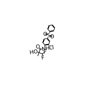 CC(O)(C(=O)Nc1ccc(S(=O)(=O)c2ccccc2)cc1Cl)C(F)F